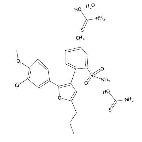 C.CCCc1cc(-c2ccccc2S(N)(=O)=O)c(-c2ccc(OC)c(Cl)c2)o1.NC(O)=S.NC(O)=S.O